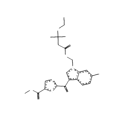 CCOC(C)(C)CC(=O)OCn1cc(C(=O)c2nc(C(=O)OC)cs2)c2ccc(F)cc21